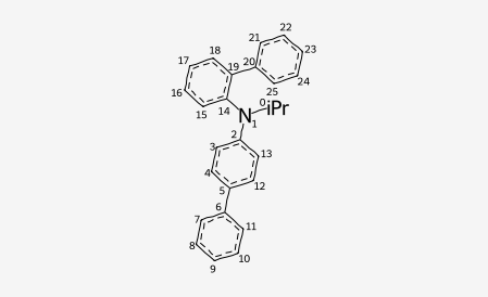 CC(C)N(c1ccc(-c2ccccc2)cc1)c1ccccc1-c1ccccc1